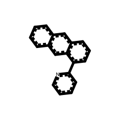 [c]1ccnc(-c2cccc3cc4ccccc4cc23)c1